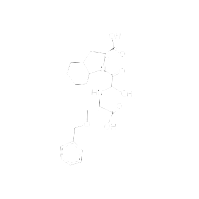 CC(N[C@@H](COCc1ccccc1)C(=O)O)C(=O)N1C2CCCCC2C[C@H]1C(=O)O